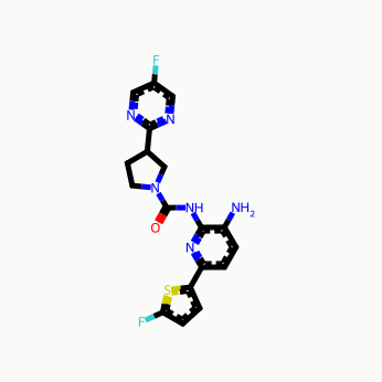 Nc1ccc(-c2ccc(F)s2)nc1NC(=O)N1CCC(c2ncc(F)cn2)C1